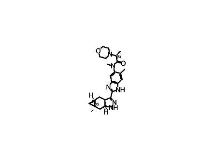 Cc1cc2[nH]c(C3=NN[C@H]4C[C@@]5(C)C[C@H]5CC34)nc2cc1N(C)C(=O)[C@H](C)N1CCOCC1